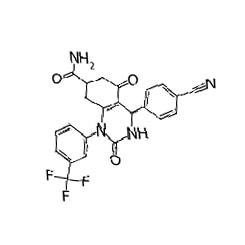 N#Cc1ccc(C2NC(=O)N(c3cccc(C(F)(F)F)c3)C3=C2C(=O)CC(C(N)=O)C3)cc1